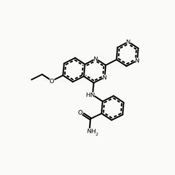 CCOc1ccc2nc(-c3cncnc3)nc(Nc3ccccc3C(N)=O)c2c1